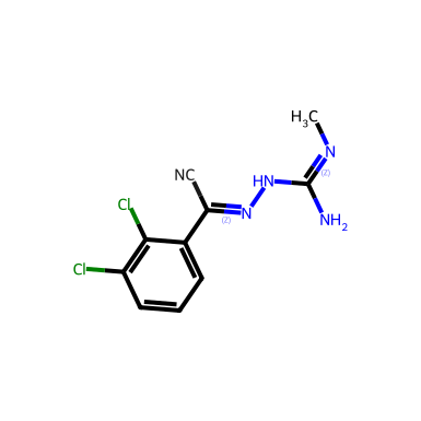 C/N=C(/N)N/N=C(\C#N)c1cccc(Cl)c1Cl